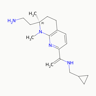 C=C(NCC1CC1)c1ccc2c(n1)N(C)[C@@](C)(CCN)CC2